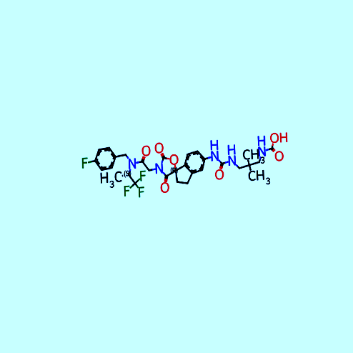 C[C@H](N(Cc1ccc(F)cc1)C(=O)CN1C(=O)O[C@@]2(CCc3cc(NC(=O)NCC(C)(C)CNC(=O)O)ccc32)C1=O)C(F)(F)F